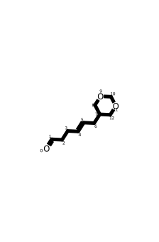 O=CCCC=CCC1COCOC1